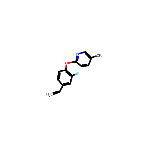 C=Cc1ccc(Oc2ccc(C(F)(F)F)cn2)c(F)c1